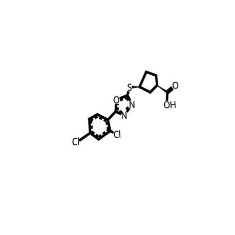 O=C(O)[C@@H]1CC[C@H](Sc2nnc(-c3ccc(Cl)cc3Cl)o2)C1